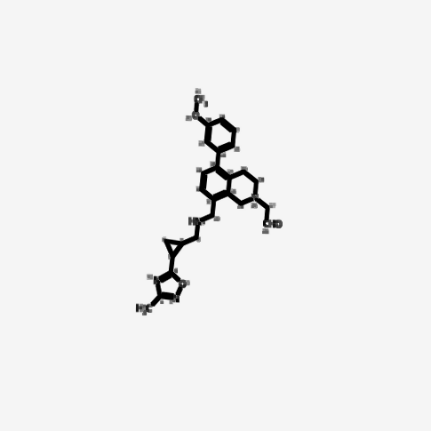 Cc1noc(C2CC2CNCc2ccc(-c3cccc(OC(F)(F)F)c3)c3c2CN(CC=O)CC3)n1